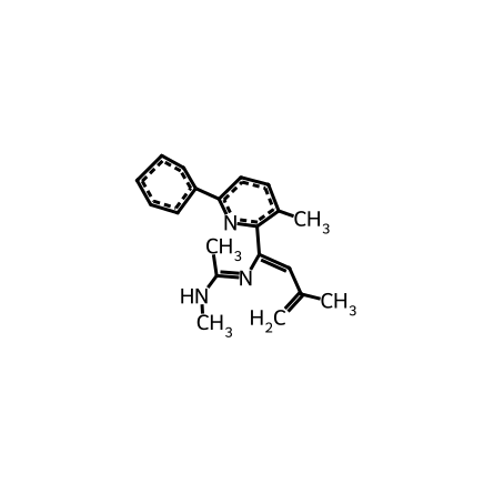 C=C(C)/C=C(\N=C(/C)NC)c1nc(-c2ccccc2)ccc1C